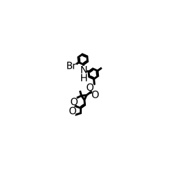 Cc1cc(COC(=O)C2C(C=C3CCOC3=O)C2(C)C)cc(Nc2ccccc2Br)c1